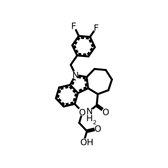 NC(=O)C1CCCCc2c1c1c(OCC(=O)O)cccc1n2Cc1ccc(F)c(F)c1